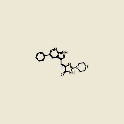 O=C1NC(N2CCOCC2)=N/C1=C\c1c[nH]c2ncc(-c3ccccc3)cc12